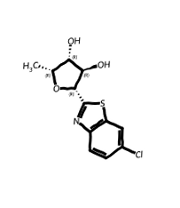 C[C@H]1O[C@@H](c2nc3ccc(Cl)cc3s2)[C@H](O)[C@H]1O